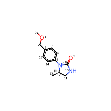 COCc1ccc(N2C(=O)NC[C@H]2C)cc1